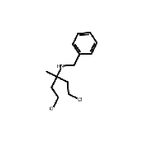 CC(CCCl)(CCCl)NCc1ccccc1